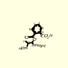 CCCCCCCC(OC(=O)c1ccccc1C(=O)O)C(C)CCCCCC